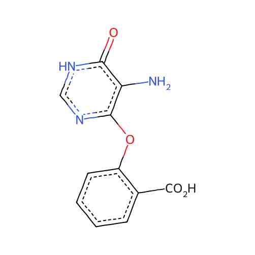 Nc1c(Oc2ccccc2C(=O)O)nc[nH]c1=O